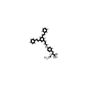 CCOC(Cc1ccc(OCC=Cc2cc(C=Cc3ccccc3)cc(C=Cc3ccccc3)c2)cc1)C(=O)O